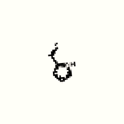 S=[C]c1ccc[nH]1